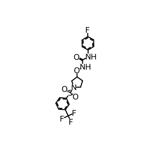 O=C(NOC1CCN(S(=O)(=O)c2cccc(C(F)(F)F)c2)C1)Nc1ccc(F)cc1